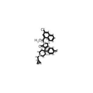 C[C@@H](c1cc(Cl)cc2ccccc12)N1CC=C(C2(c3ccc(F)cc3)CCN(CC3CC3)CC2)C1=O